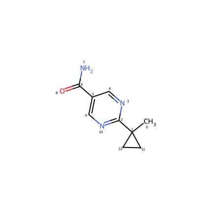 CC1(c2ncc(C(N)=O)cn2)CC1